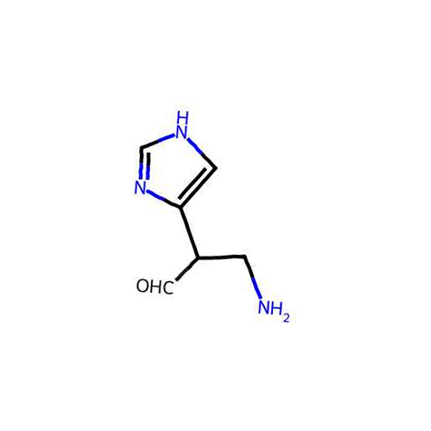 NCC(C=O)c1c[nH]cn1